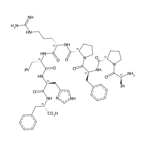 CC(C)C[C@H](NC(=O)[C@H](CCCNC(=N)N)NC(=O)[C@@H]1CCCN1C(=O)[C@H](Cc1ccccc1)NC(=O)[C@@H]1CCCN1C(=O)[C@@H](N)C(C)C)C(=O)N[C@@H](Cc1c[nH]cn1)C(=O)N[C@@H](Cc1ccccc1)C(=O)O